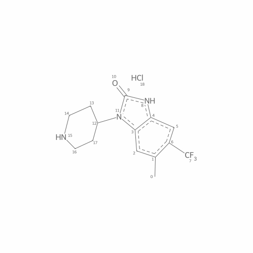 Cc1cc2c(cc1C(F)(F)F)[nH]c(=O)n2C1CCNCC1.Cl